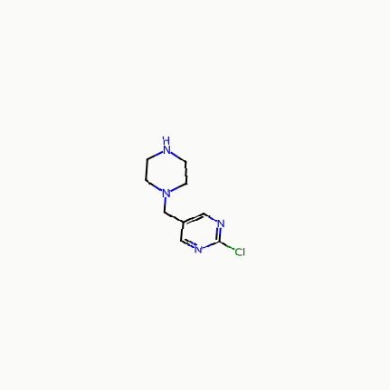 Clc1ncc(CN2CCNCC2)cn1